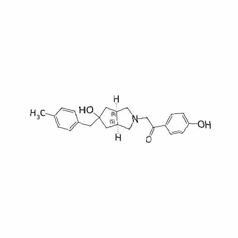 Cc1ccc(CC2(O)C[C@H]3CN(CC(=O)c4ccc(O)cc4)C[C@H]3C2)cc1